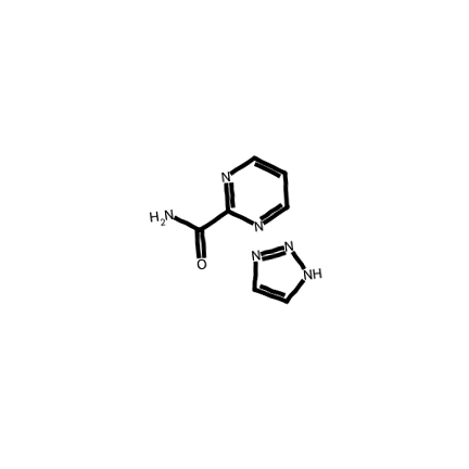 NC(=O)c1ncccn1.c1c[nH]nn1